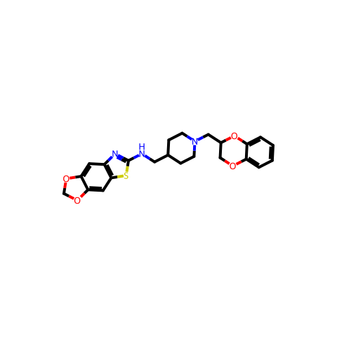 c1ccc2c(c1)OCC(CN1CCC(CNc3nc4cc5c(cc4s3)OCO5)CC1)O2